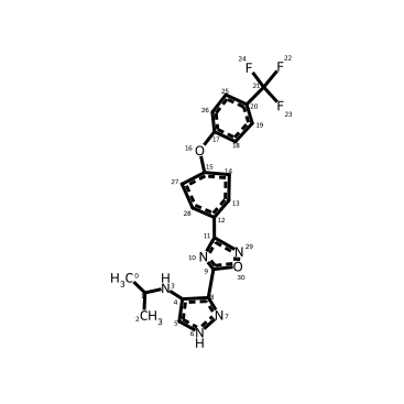 CC(C)Nc1c[nH]nc1-c1nc(-c2ccc(Oc3ccc(C(F)(F)F)cc3)cc2)no1